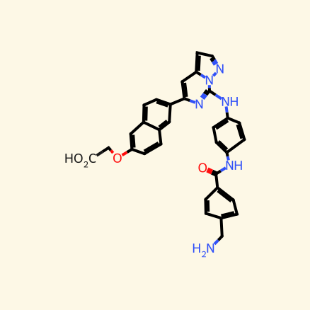 NCc1ccc(C(=O)Nc2ccc(Nc3nc(-c4ccc5cc(OCC(=O)O)ccc5c4)cc4ccnn34)cc2)cc1